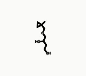 CC1(COCC(O)CCO)CC1